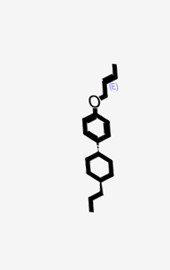 C/C=C/COc1ccc([C@H]2CC[C@H](CCC)CC2)cc1